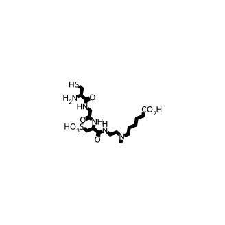 CN(CCCCCC(=O)O)CCNC(=O)C(CS(=O)(=O)O)NC(=O)CNC(=O)C(N)CS